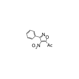 CC(=O)c1onc(-c2ccccc2)c1[N+](=O)[O-]